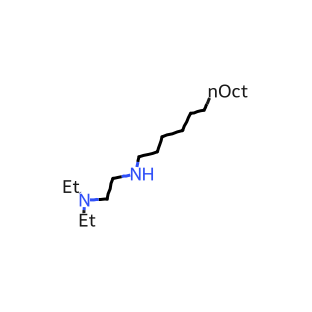 CCCCCCCCCCCCCCNCCN(CC)CC